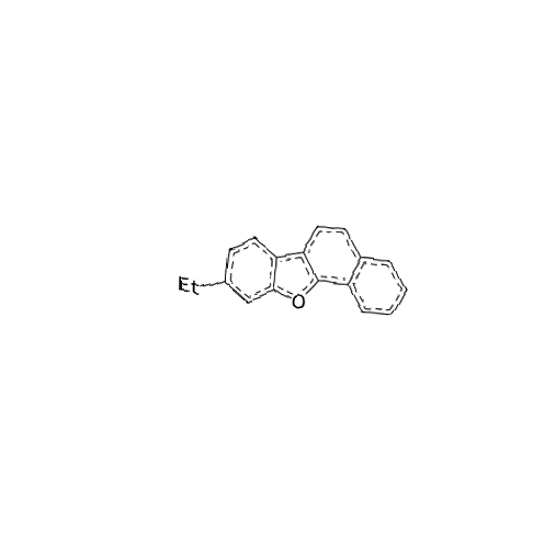 CCc1ccc2c(c1)oc1c3ccccc3ccc21